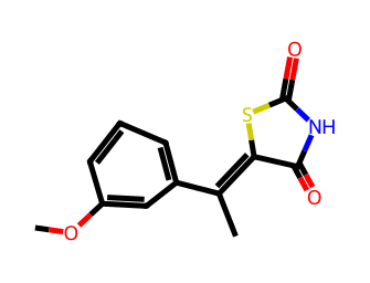 COc1cccc(C(C)=C2SC(=O)NC2=O)c1